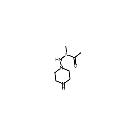 CC(=O)N(C)NN1CCNCC1